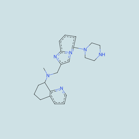 CN(Cc1cn2c(N3CCNCC3)cccc2n1)C1CCCc2cccnc21